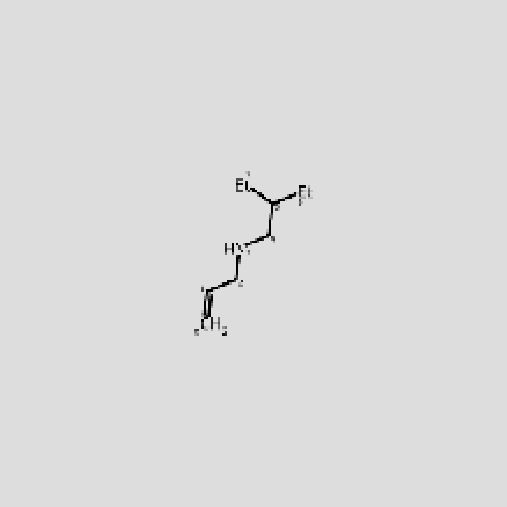 C=CCNCC(CC)CC